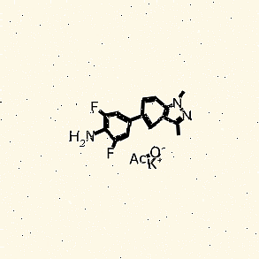 CC(=O)[O-].Cc1nn(C)c2ccc(-c3cc(F)c(N)c(F)c3)cc12.[K+]